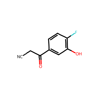 N#CCC(=O)c1ccc(F)c(O)c1